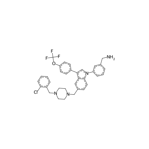 NCc1cccc(-n2cc(-c3ccc(OC(F)(F)F)cc3)c3cc(CN4CCN(Cc5ccccc5Cl)CC4)ccc32)c1